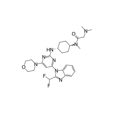 CN(C)CC(=O)N(C)[C@H]1CC[C@H](Nc2nc(N3CCOCC3)cc(-n3c(C(F)F)nc4ccccc43)n2)CC1